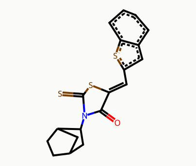 O=C1C(=Cc2cc3ccccc3s2)SC(=S)N1C1CC2CCC1C2